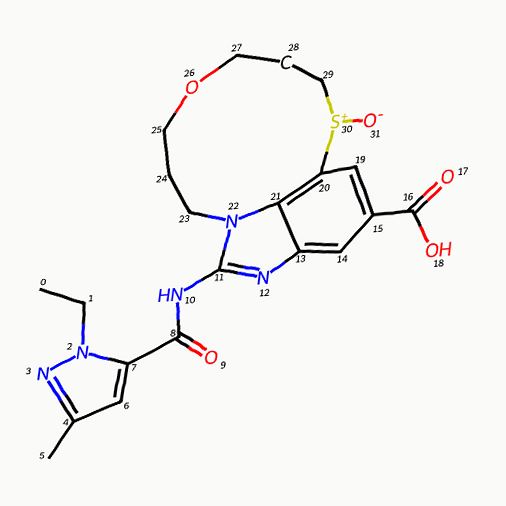 CCn1nc(C)cc1C(=O)Nc1nc2cc(C(=O)O)cc3c2n1CCCOCCC[S+]3[O-]